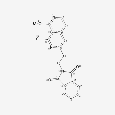 COc1nccc2cc(CCN3C(=O)c4ccccc4C3=O)nc(Cl)c12